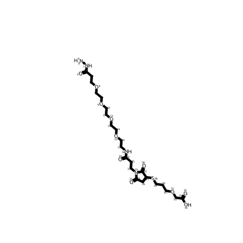 NNC(=O)CCOCCOCCOCCOCCNC(=O)CCN1C(=O)CC(SCCCOCC(=O)O)C1=O